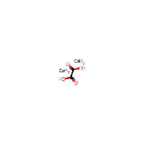 O=C(O)C(=O)O.[CaH2].[CaH2]